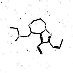 C=Cc1c(/C=C\C)nn2c1C(CN(C)CC)OCCC2